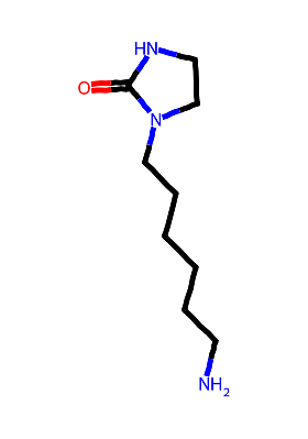 NCCCCCCN1CCNC1=O